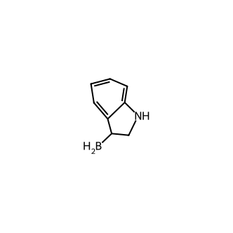 BC1CNc2ccccc21